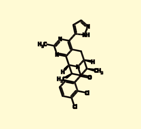 Cc1nc(-c2ccn[nH]2)c2c(n1)[C@H]1[C@H](C)C[C@H](C)[C@@H](C2)N1C(=O)c1cccc(Cl)c1Cl